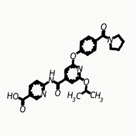 CC(C)Oc1cc(C(=O)Nc2ccc(C(=O)O)cn2)cc(Oc2ccc(C(=O)N3CCCC3)cc2)n1